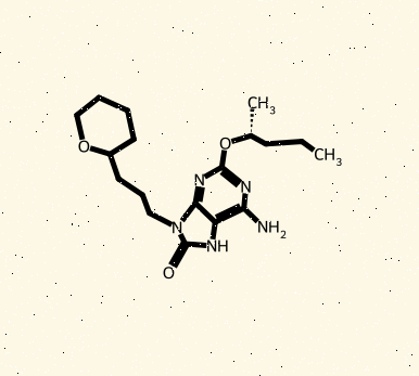 CCC[C@@H](C)Oc1nc(N)c2[nH]c(=O)n(CCCC3CCCCO3)c2n1